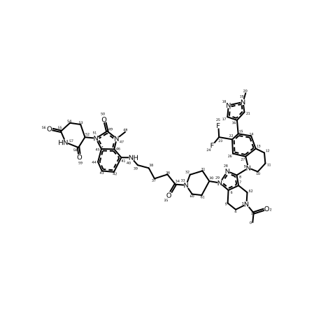 CC(=O)N1CCc2c(c(N3CCCc4cc(-c5cnn(C)c5)c(C(F)F)cc43)nn2C2CCN(C(=O)CCCCNc3cccc4c3n(C)c(=O)n4C3CCC(=O)NC3=O)CC2)C1